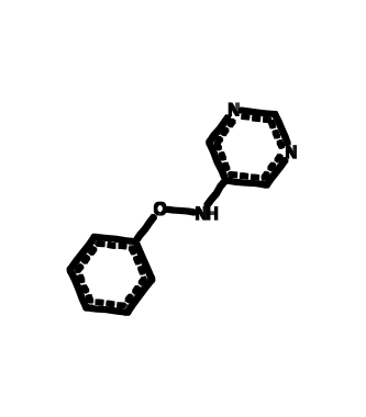 c1ccc(ONc2cncnc2)cc1